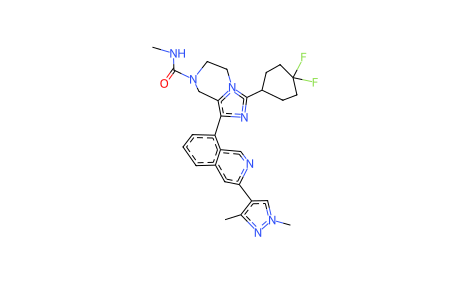 CNC(=O)N1CCn2c(C3CCC(F)(F)CC3)nc(-c3cccc4cc(-c5cn(C)nc5C)ncc34)c2C1